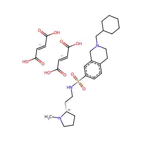 CN1CCC[C@H]1CCNS(=O)(=O)c1ccc2c(c1)CN(CC1CCCCC1)CC2.O=C(O)/C=C/C(=O)O.O=C(O)/C=C/C(=O)O